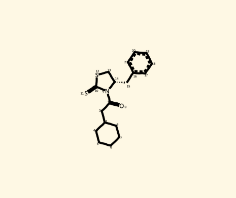 O=C(CC1CCCCC1)N1C(=S)SC[C@@H]1Cc1ccccc1